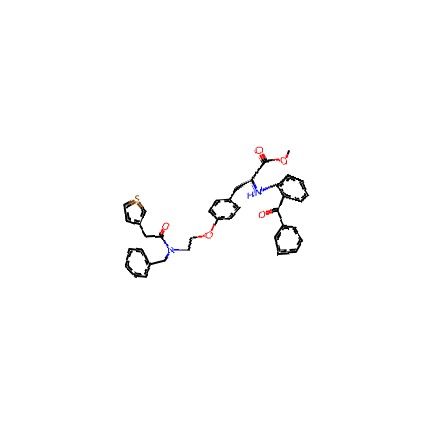 COC(=O)[C@H](Cc1ccc(OCCN(Cc2ccccc2)C(=O)Cc2ccsc2)cc1)Nc1ccccc1C(=O)c1ccccc1